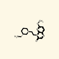 COc1ccc2ncc(=O)n(CCN3CCC[C@@H](CN)C3)c2n1